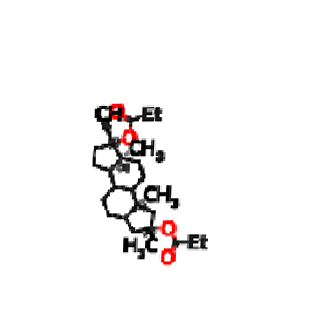 C#C[C@]1(OC(=O)CC)CCC2C3CCC4C[C@@](C)(OC(=O)CC)C[C@]4(C)C3CC[C@@]21C